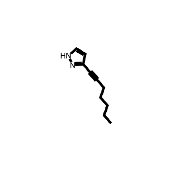 CCCCCC#Cc1cc[nH]n1